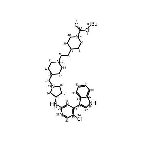 CC(C)(C)OC(=O)N1CCC(CCN2CCC(CN3CC[C@@H](Nc4ncc(Cl)c(-c5c[nH]c6ccccc56)n4)C3)CC2)CC1